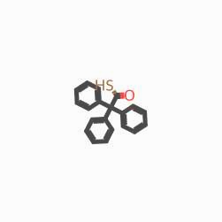 O=C(S)C(c1ccccc1)(c1ccccc1)c1ccccc1